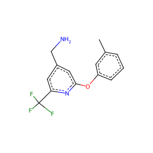 Cc1cccc(Oc2cc(CN)cc(C(F)(F)F)n2)c1